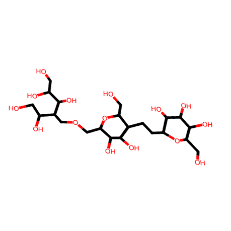 OCC(O)C(O)C(COCC1OC(CO)C(CCC2OC(CO)C(O)C(O)C2O)C(O)C1O)C(O)CO